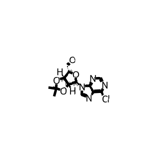 CC1(C)O[C@@H]2[C@@H](O1)[C@H](n1cnc3c(Cl)ncnc31)O[C@H]2C=O